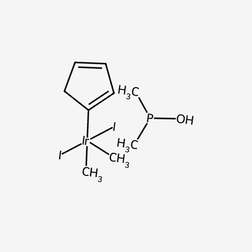 CP(C)O.[CH3][Ir]([CH3])([I])([I])[C]1=CC=CC1